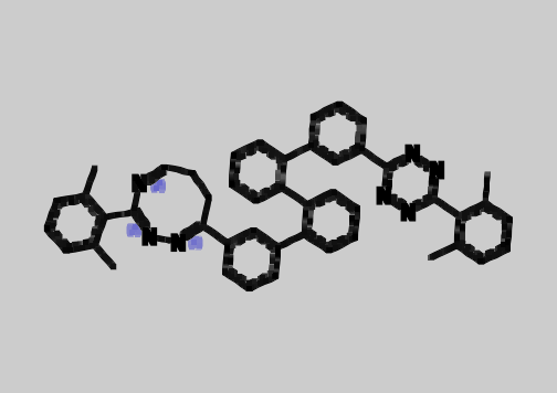 Cc1cccc(C)c1C1=N/N=C(/c2cccc(-c3ccccc3-c3ccccc3-c3cccc(-c4nnc(-c5c(C)cccc5C)nn4)c3)c2)CC/C=N\1